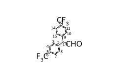 O=CC(c1ccc(C(F)(F)F)cc1)c1ccc(C(F)(F)F)cc1